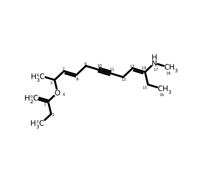 C=C(CC)OC(C)/C=C/CC#CC/C=C(\CC)NC